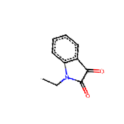 [CH2]CN1C(=O)C(=O)c2ccccc21